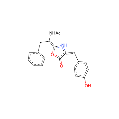 CC(=O)NC(Cc1ccccc1)=c1[nH]c(=Cc2ccc(O)cc2)c(=O)o1